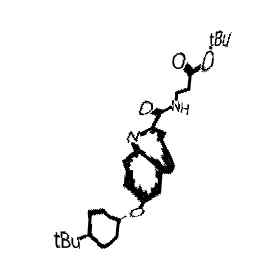 CC(C)(C)OC(=O)CCNC(=O)c1ccc2cc(O[C@H]3CC[C@H](C(C)(C)C)CC3)ccc2n1